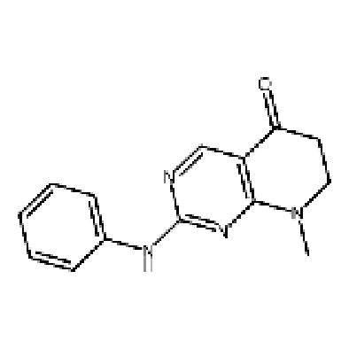 CN1CCC(=O)c2cnc(Nc3ccccc3)nc21